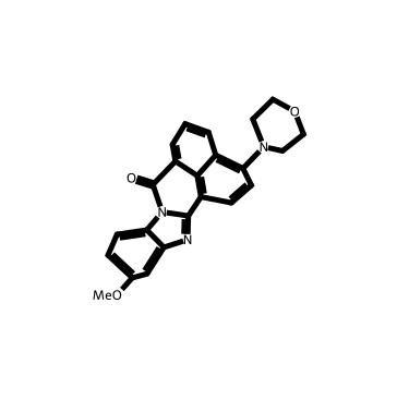 COc1ccc2c(c1)nc1c3ccc(N4CCOCC4)c4cccc(c(=O)n21)c43